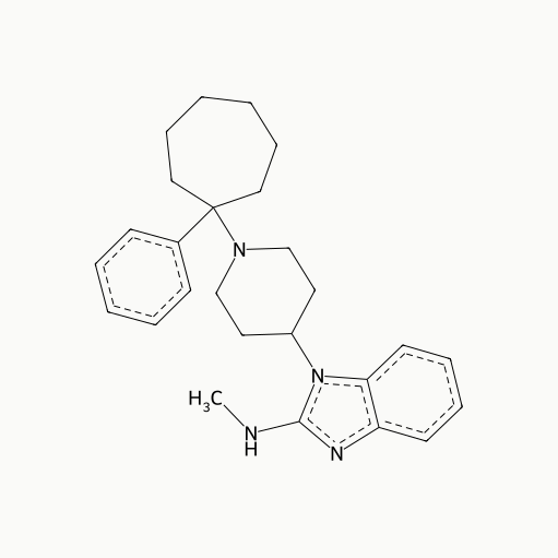 CNc1nc2ccccc2n1C1CCN(C2(c3ccccc3)CCCCCC2)CC1